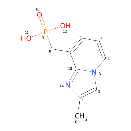 Cc1cn2cccc(CP(=O)(O)O)c2n1